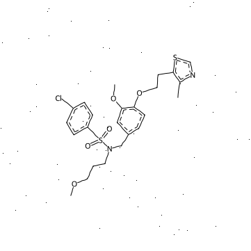 COCCCN(Cc1ccc(OCCc2scnc2C)c(OC)c1)S(=O)(=O)c1ccc(Cl)cc1